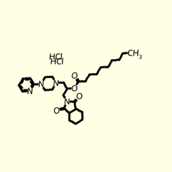 CCCCCCCCCC(=O)OC(CN1CCN(c2ccccn2)CC1)CN1C(=O)C2CCCCC2C1=O.Cl.Cl